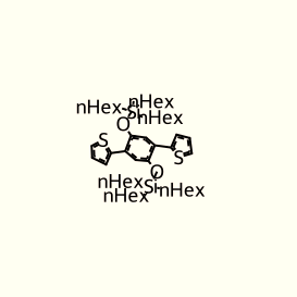 CCCCCC[Si](CCCCCC)(CCCCCC)Oc1cc(-c2cccs2)c(O[Si](CCCCCC)(CCCCCC)CCCCCC)cc1-c1cccs1